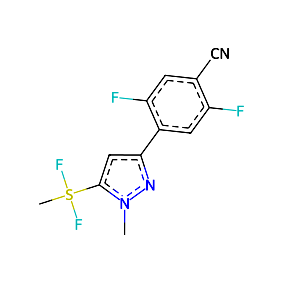 Cn1nc(-c2cc(F)c(C#N)cc2F)cc1S(C)(F)F